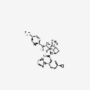 C[C@@H]1C2CC(C2)N(C(=O)c2cc(Cl)ccc2-n2nccn2)[C@@H]1CNc1ncc(C(F)(F)F)cn1